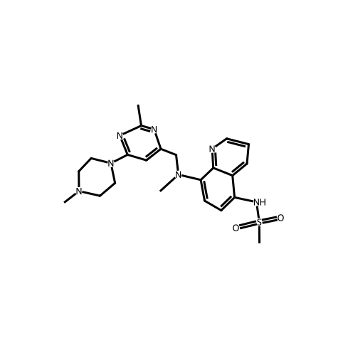 Cc1nc(CN(C)c2ccc(NS(C)(=O)=O)c3cccnc23)cc(N2CCN(C)CC2)n1